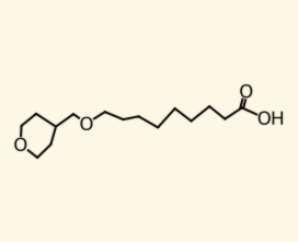 O=C(O)CCCCCCCCOCC1CCOCC1